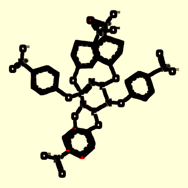 O=[N+]([O-])c1ccc(ON2P(Oc3ccc([N+](=O)[O-])cc3)N=P(Oc3ccc([N+](=O)[O-])cc3)(Oc3ccc([N+](=O)[O-])cc3)N(Oc3ccccc3)P2Oc2ccc([N+](=O)[O-])cc2)cc1